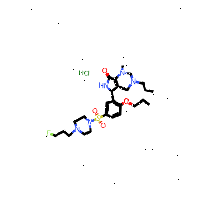 CCCOc1ccc(S(=O)(=O)N2CCN(CCCF)CC2)cc1C1NC(=O)C2=C1CN(CCC)CN2C.Cl